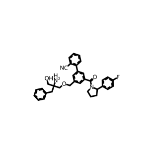 N#Cc1ccccc1-c1cc(COCC(N)(CO)Cc2ccccc2)cc(C(=O)N2CCCC2c2ccc(F)cc2)c1